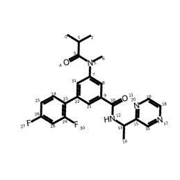 CC(C)C(=O)N(C)c1cc(C(=O)NC(C)c2cnccn2)cc(-c2ccc(F)cc2F)c1